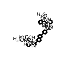 COC(=O)NC(C(=O)N1CCC[C@H]1C1=NCC(c2ccc(-c3ccc4cc(-c5cnc([C@@H]6CCCN6C(=O)[C@@H](NC(=O)OC)C(C)C)[nH]5)ccc4c3)cc2)N1)c1ccccc1C